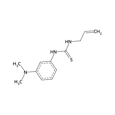 C=CCNC(=S)Nc1cccc(N(C)C)c1